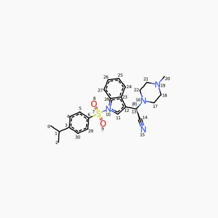 CC(C)c1ccc(S(=O)(=O)n2cc([C@H](C#N)N3CCN(C)CC3)c3ccccc32)cc1